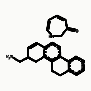 NCC1C=Cc2ccc3c(c2C1)CCc1ccccc1-3.O=C1C=CC=CNC1